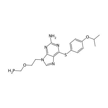 CC(C)Oc1ccc(Sc2nc(N)nc3c2ncn3CCOCP)cc1